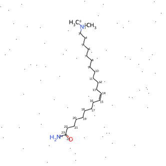 CN(C)CCCCCCCCCCC/C=C\CCCCCCCC(N)=O